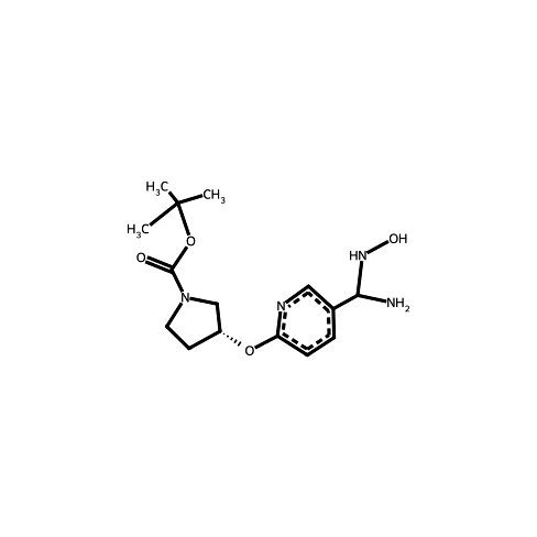 CC(C)(C)OC(=O)N1CC[C@@H](Oc2ccc(C(N)NO)cn2)C1